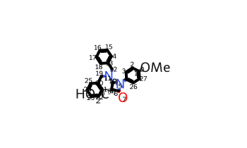 COc1ccc(N2C(=O)[C@H](C(=O)O)[C@H]2N(Cc2ccccc2)Cc2ccccc2)cc1